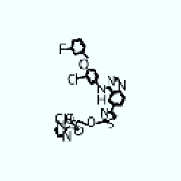 Cn1ccnc1S(=O)(=O)CCOCc1nc(-c2ccc3ncnc(Nc4ccc(OCc5cccc(F)c5)c(Cl)c4)c3c2)cs1